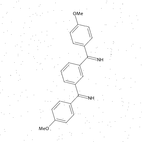 COc1ccc(C(=N)c2cccc(C(=N)c3ccc(OC)cc3)c2)cc1